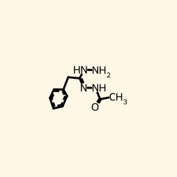 CC(=O)NN=C(Cc1ccccc1)NN